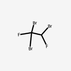 FC(Br)C(F)(Br)Br